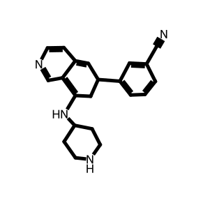 N#Cc1cccc(C2C=c3ccncc3=C(NC3CCNCC3)C2)c1